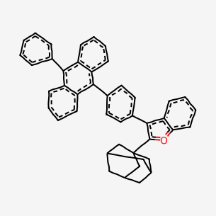 c1ccc(-c2c3ccccc3c(-c3ccc(-c4c(C56CC7CC(CC(C7)C5)C6)oc5ccccc45)cc3)c3ccccc23)cc1